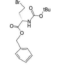 CC(C)(C)OC(=O)N[C@@H](CCBr)C(=O)OCc1ccccc1